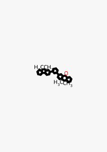 CC1(C)c2ccccc2C(=O)c2cc(-c3cccc(-c4ccc5c(c4)C(C)(C)c4ccccc4-5)c3)ccc21